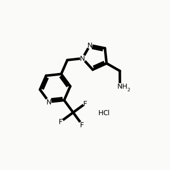 Cl.NCc1cnn(Cc2ccnc(C(F)(F)F)c2)c1